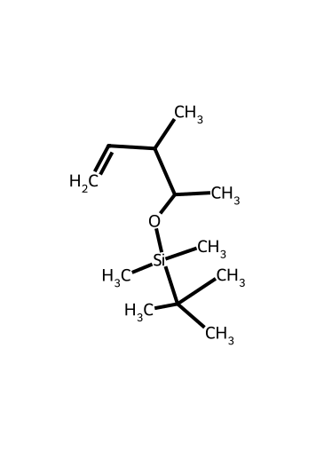 C=CC(C)C(C)O[Si](C)(C)C(C)(C)C